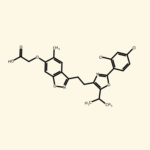 Cc1cc2c(CCc3nc(-c4ccc(Cl)cc4Cl)oc3C(C)C)noc2cc1OCC(=O)O